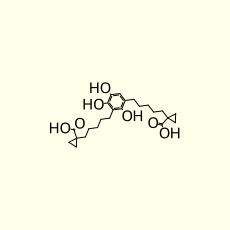 O=C(O)C1(CCCCCc2cc(O)c(O)c(CCCCCC3(C(=O)O)CC3)c2O)CC1